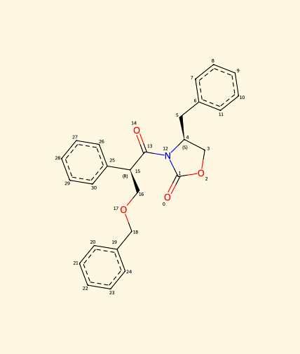 O=C1OC[C@H](Cc2ccccc2)N1C(=O)[C@@H](COCc1ccccc1)c1ccccc1